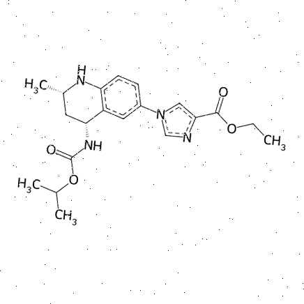 CCOC(=O)c1cn(-c2ccc3c(c2)[C@H](NC(=O)OC(C)C)C[C@H](C)N3)cn1